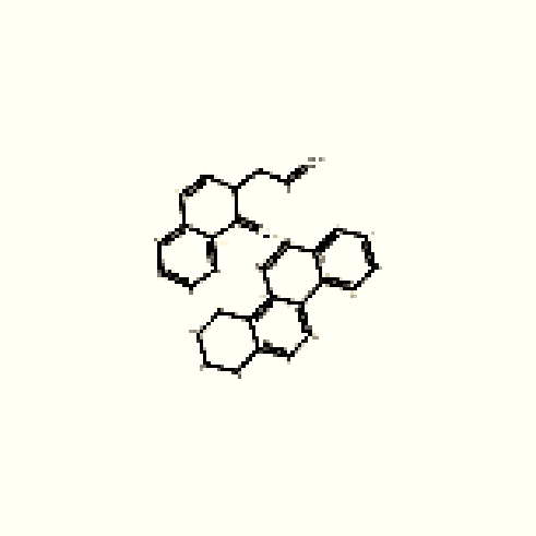 O=CCC1C=Cc2ccccc2C1=O.c1ccc2c(c1)ccc1c3c(ccc12)CCCC3